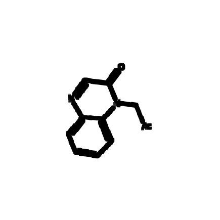 CC(=O)Cn1c(=O)cnc2ccccc21